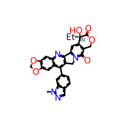 CC[C@@]1(O)C(=O)OCc2c1cc1n(c2=O)Cc2c-1nc1cc3c(cc1c2-c1ccc2cnn(C)c2c1)OCO3